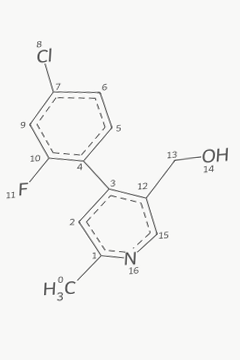 Cc1cc(-c2ccc(Cl)cc2F)c(CO)cn1